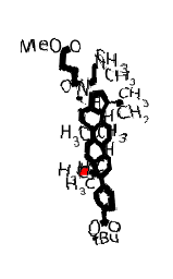 C=C(C)[C@@H]1CC[C@]2(CN(CCN(C)C)C(=O)CCC(=O)OC)CC[C@]3(C)[C@H](CC[C@@H]4[C@@]5(C)CC=C(c6ccc(C(=O)OC(C)(C)C)cc6)C(C)(C)[C@@H]5CC[C@]43C)[C@@H]12